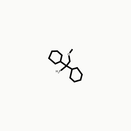 COCC(P)(C1CCCCC1)C1CCCCC1